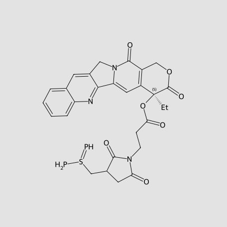 CC[C@@]1(OC(=O)CCN2C(=O)CC(CS(=P)P)C2=O)C(=O)OCc2c1cc1n(c2=O)Cc2cc3ccccc3nc2-1